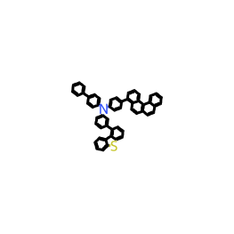 c1ccc(-c2ccc(N(c3ccc(-c4cccc5c4ccc4ccc6ccccc6c45)cc3)c3cccc(-c4cccc5sc6ccccc6c45)c3)cc2)cc1